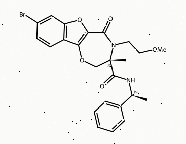 COCCN1C(=O)c2oc3cc(Br)ccc3c2OC[C@@]1(C)C(=O)N[C@@H](C)c1ccccc1